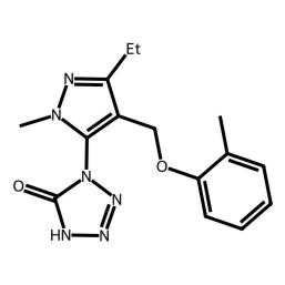 CCc1nn(C)c(-n2nn[nH]c2=O)c1COc1ccccc1C